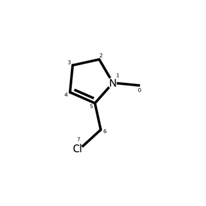 CN1CCC=C1CCl